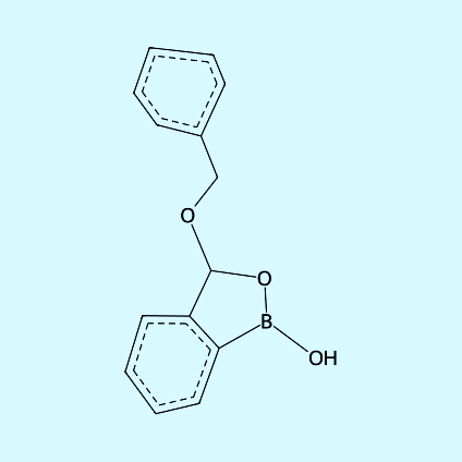 OB1OC(OCc2ccccc2)c2ccccc21